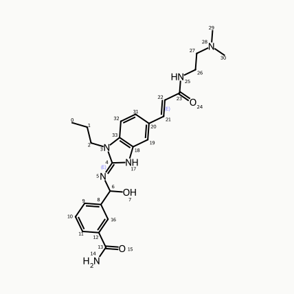 CCCn1/c(=N/C(O)c2cccc(C(N)=O)c2)[nH]c2cc(/C=C/C(=O)NCCN(C)C)ccc21